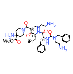 COC(=O)C1(N)CCN(C(=O)[C@H](CCCCN)C(=O)[C@@H](CC(C)C)NC(=O)[C@@H](Cc2ccccc2)NC(=O)N(CCN)Cc2ccccc2)CC1